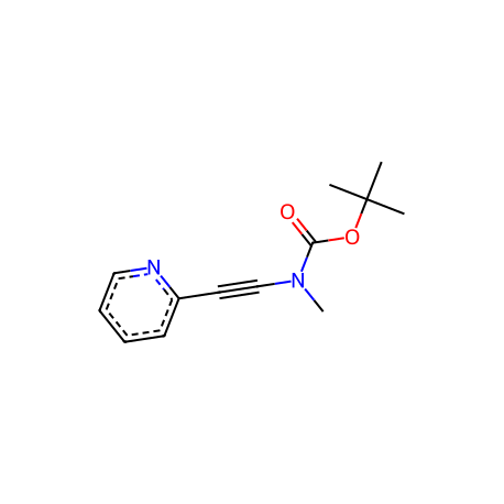 CN(C#Cc1ccccn1)C(=O)OC(C)(C)C